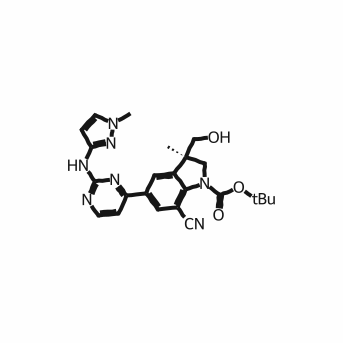 Cn1ccc(Nc2nccc(-c3cc(C#N)c4c(c3)[C@@](C)(CO)CN4C(=O)OC(C)(C)C)n2)n1